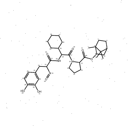 CC1(C)C2CCC1(C)C(OC(=O)C1CCCN1C(=O)C(NC(=O)C(Cc1ccc(O)c(O)c1)N=O)C1CCCCC1)C2